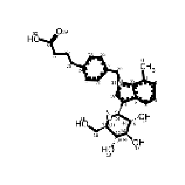 Cc1cccc2c([C@@H]3O[C@H](CO)[C@@H](O)[C@H](O)[C@H]3O)cn(Cc3ccc(CCCC(=O)O)cc3)c12